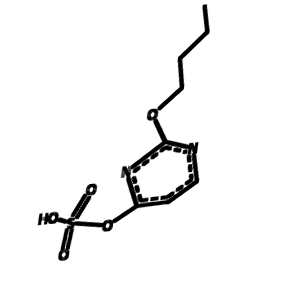 CCCCOc1nccc(OS(=O)(=O)O)n1